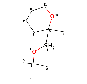 CC(C)(C)O[SiH2]C1(C)CCCCO1